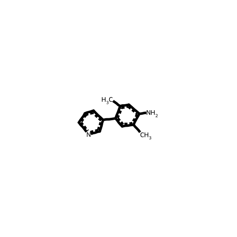 Cc1cc(-c2cccnc2)c(C)cc1N